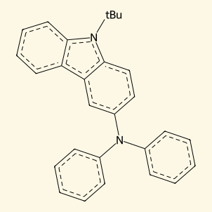 CC(C)(C)n1c2ccccc2c2cc(N(c3ccccc3)c3ccccc3)ccc21